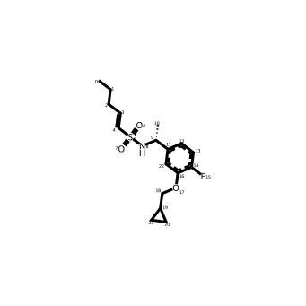 CCC/C=C/S(=O)(=O)N[C@H](C)c1ccc(F)c(OCC2CC2)c1